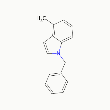 Cc1cccc2c1ccn2Cc1ccccc1